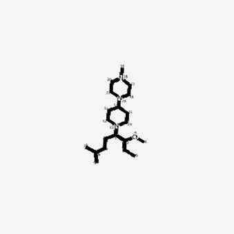 CCC(OC)C(CCC(C)C)N1CCC(N2CCN(C)CC2)CC1